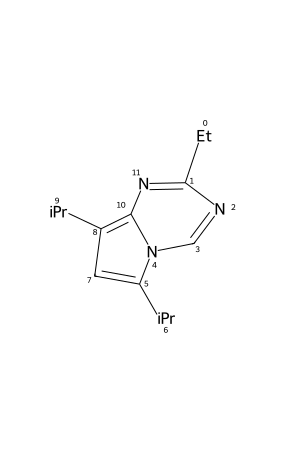 CCc1ncn2c(C(C)C)cc(C(C)C)c2n1